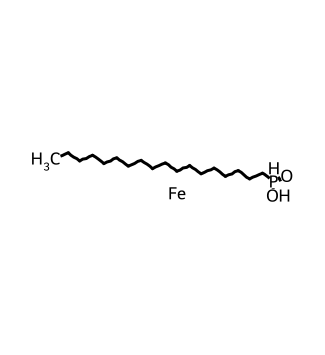 CCCCCCCCCCCCCCCCCC[PH](=O)O.[Fe]